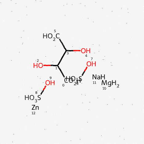 O=C(O)C(O)C(O)C(=O)O.O=S(=O)(O)O.O=S(=O)(O)O.[MgH2].[NaH].[Zn]